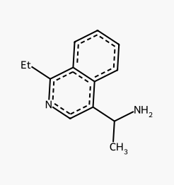 CCc1ncc(C(C)N)c2ccccc12